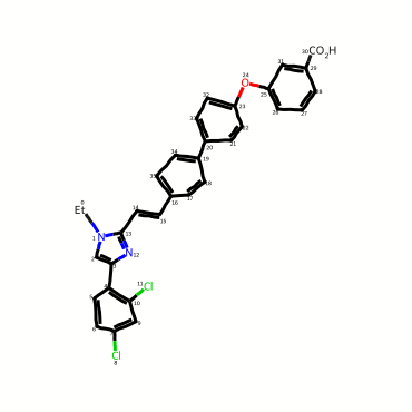 CCn1cc(-c2ccc(Cl)cc2Cl)nc1C=Cc1ccc(-c2ccc(Oc3cccc(C(=O)O)c3)cc2)cc1